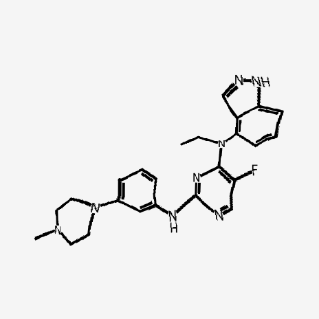 CCN(c1nc(Nc2cccc(N3CCN(C)CC3)c2)ncc1F)c1cccc2[nH]ncc12